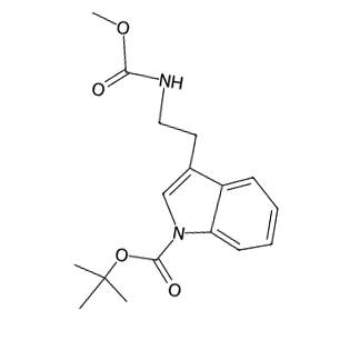 COC(=O)NCCc1cn(C(=O)OC(C)(C)C)c2ccccc12